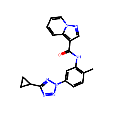 Cc1ccc(-n2nnc(C3CC3)n2)cc1NC(=O)c1cnn2ccccc12